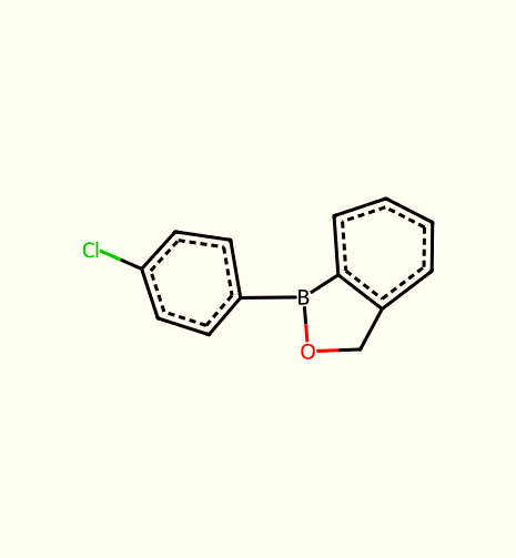 Clc1ccc(B2OCc3ccccc32)cc1